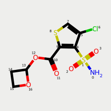 NS(=O)(=O)c1c(Cl)csc1C(=O)OC1CCO1